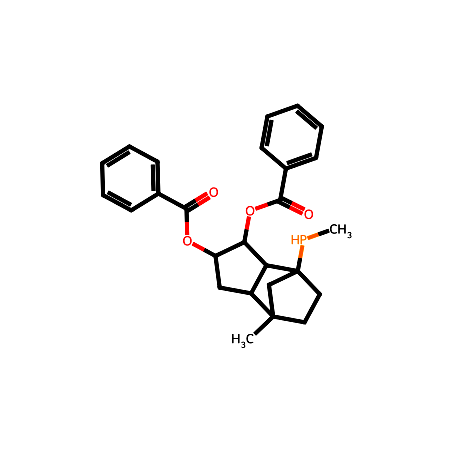 CPC12CCC(C)(C1)C1CC(OC(=O)c3ccccc3)C(OC(=O)c3ccccc3)C12